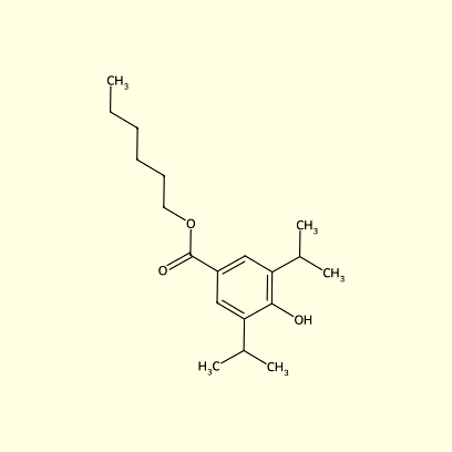 CCCCCCOC(=O)c1cc(C(C)C)c(O)c(C(C)C)c1